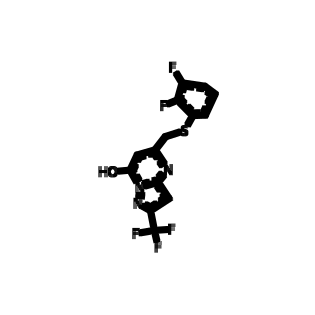 Oc1cc(CSc2cccc(F)c2F)nc2cc(C(F)(F)F)nn12